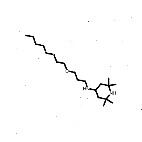 CCCCCCCCOCCCNC1CC(C)(C)NC(C)(C)C1